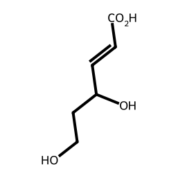 O=C(O)C=CC(O)CCO